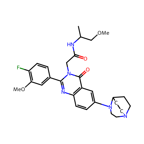 COCC(C)NC(=O)Cn1c(-c2ccc(F)c(OC)c2)nc2ccc(N3CCN4CCC3CC4)cc2c1=O